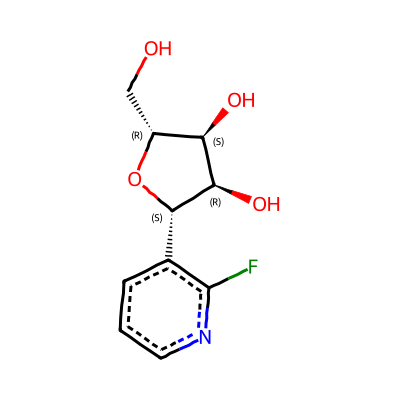 OC[C@H]1O[C@@H](c2cccnc2F)[C@H](O)[C@@H]1O